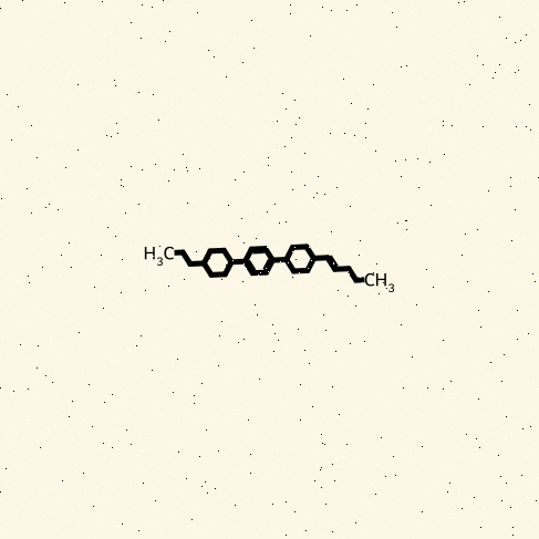 CCCC=CC1CCC(c2ccc(C3CCC(CCC)CC3)cc2)CC1